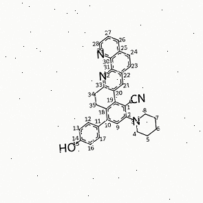 N#Cc1c(N2CCCCC2)cc(-c2ccc(O)cc2)c2c1-c1cc3ccc4cccnc4c3nc1CC2